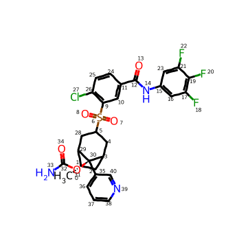 C[C@H]1CC2CC(S(=O)(=O)c3cc(C(=O)Nc4cc(F)c(F)c(F)c4)ccc3Cl)CC1[C@@]2(OC(N)=O)c1cccnc1